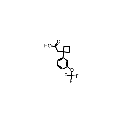 O=C(O)CC1(c2cccc(OC(F)(F)F)c2)CCC1